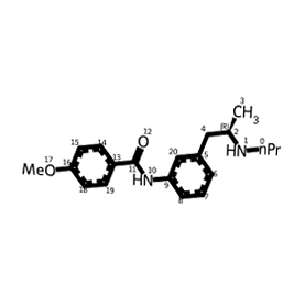 CCCN[C@H](C)Cc1cccc(NC(=O)c2ccc(OC)cc2)c1